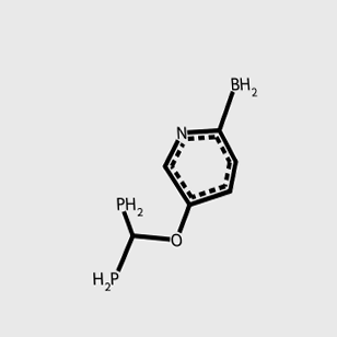 Bc1ccc(OC(P)P)cn1